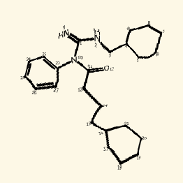 N=C(NCC1CCCCC1)N(C(=O)CCCC1CCCCC1)c1ccccc1